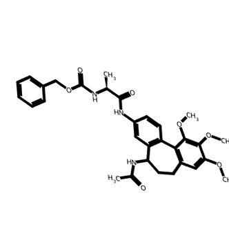 COc1cc2c(c(OC)c1OC)-c1ccc(NC(=O)[C@H](C)NC(=O)OCc3ccccc3)cc1C(NC(C)=O)CC2